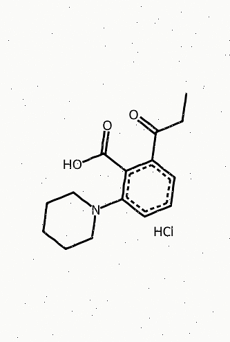 CCC(=O)c1cccc(N2CCCCC2)c1C(=O)O.Cl